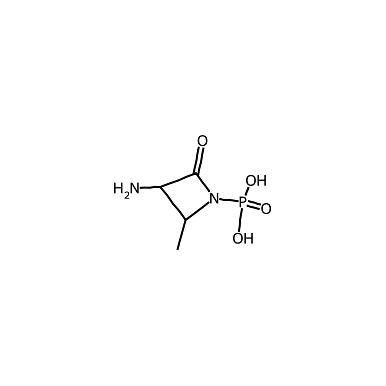 CC1C(N)C(=O)N1P(=O)(O)O